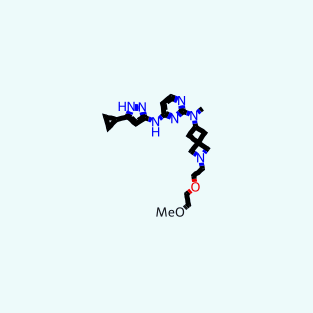 COCCOCCN1CC2(CC(N(C)c3nccc(Nc4cc(C5CC5)[nH]n4)n3)C2)C1